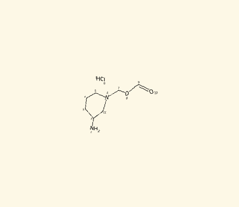 Cl.NC1CCCN(COC=O)C1